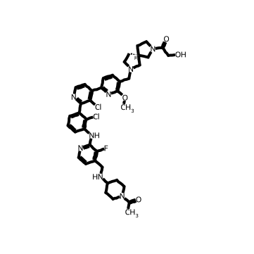 COc1nc(-c2ccnc(-c3cccc(Nc4nccc(CNC5CCN(C(C)=O)CC5)c4F)c3Cl)c2Cl)ccc1CN1CC[C@@]2(CCN(C(=O)CO)C2)C1